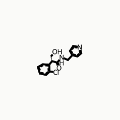 O=C(NCc1ccncc1)[C@@H](CO)c1ccccc1Cl